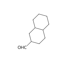 O=CC1CCC2CCCCC2C1